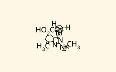 C[C@H]1CCCc2c1nc(N1CC[C@@H]1C)nc2N1C[C@H]2C[C@@H](C1)[C@@H]2CC(=O)O